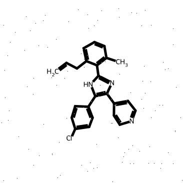 C=CCc1cccc(C)c1-c1nc(-c2ccncc2)c(-c2ccc(Cl)cc2)[nH]1